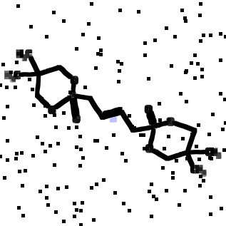 CC1(C)COP(=O)(C/C=C/CP2(=O)OCC(C)(C)CO2)OC1